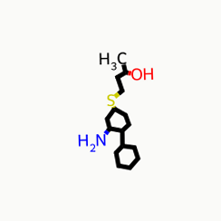 CC(O)CCSC1CCC(C2CCCCC2)C(N)C1